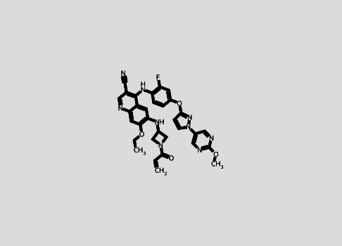 C=CC(=O)N1CC(Nc2cc3c(Nc4ccc(Oc5ccn(-c6cnc(OC)nc6)n5)cc4F)c(C#N)cnc3cc2OCC)C1